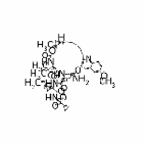 C=C[C@@H]1C[C@]1(NC(=O)[C@@H]1C[C@]2(N)CN1C(=O)[C@H](C(C)(C)C)NC(=O)O[C@]1(C)C[C@H]1CCCCCc1nc3ccc(OC)cc3cc1O2)C(=O)NS(=O)(=O)C1CC1